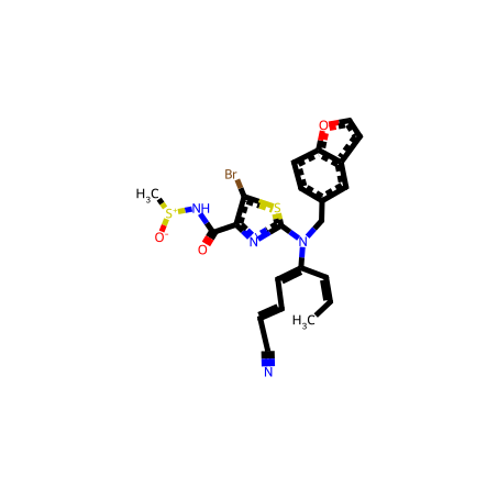 C\C=C/C(=C\C=C\C#N)N(Cc1ccc2occc2c1)c1nc(C(=O)N[S+](C)[O-])c(Br)s1